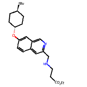 CCOC(=O)CCNCc1cc2ccc(O[C@H]3CC[C@H](C(C)(C)C)CC3)cc2cn1